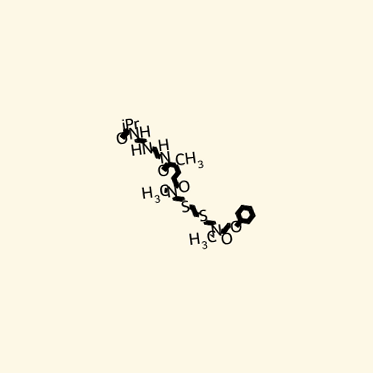 CC(C)C(=O)NCCNCCNC(=O)C(C)CCC(=O)N(C)CCSCCSCCN(C)C(=O)COC1CCCCC1